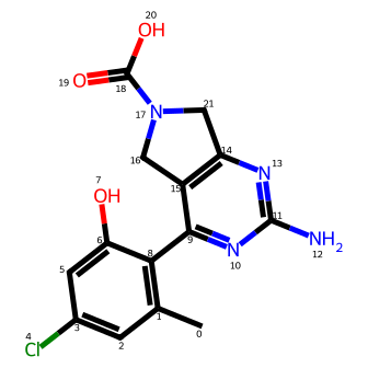 Cc1cc(Cl)cc(O)c1-c1nc(N)nc2c1CN(C(=O)O)C2